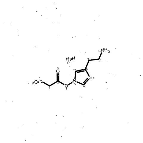 CCCCCCCCCC(=O)On1cnc(CCN)c1.[NaH]